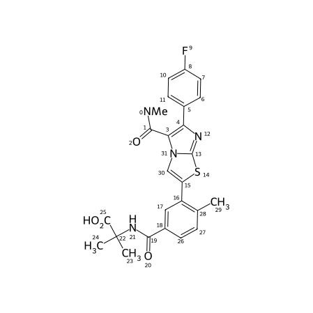 CNC(=O)c1c(-c2ccc(F)cc2)nc2sc(-c3cc(C(=O)NC(C)(C)C(=O)O)ccc3C)cn12